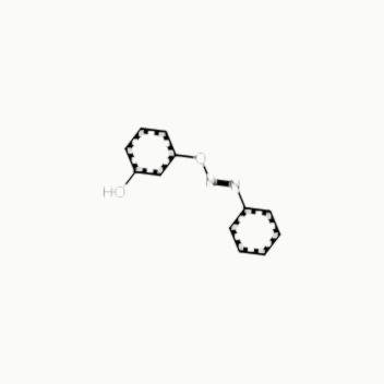 Oc1cccc(ON=Nc2ccccc2)c1